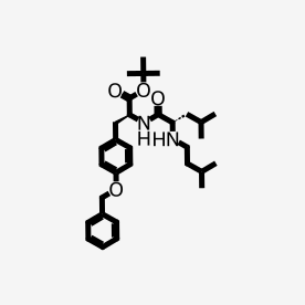 CC(C)CCN[C@@H](CC(C)C)C(=O)N[C@@H](Cc1ccc(OCc2ccccc2)cc1)C(=O)OC(C)(C)C